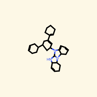 C1=CCC2C(=C1)N(C1C=C(C3=CCCCC3)CC(C3CC=CCC3)C1)C1NC3C=CCCC3N21